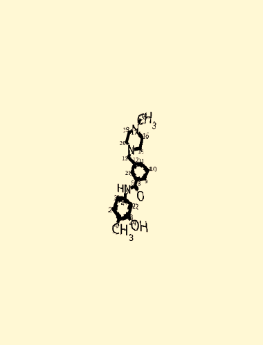 Cc1ccc(NC(=O)c2cccc(CN3CCN(C)CC3)c2)cc1O